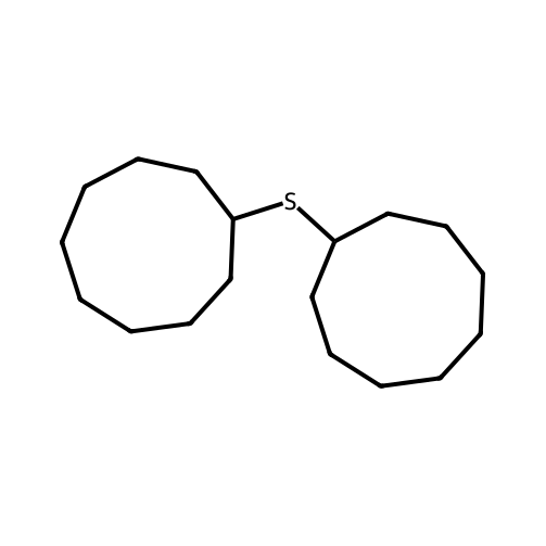 C1CCCCC(SC2CCCCCCCC2)CCC1